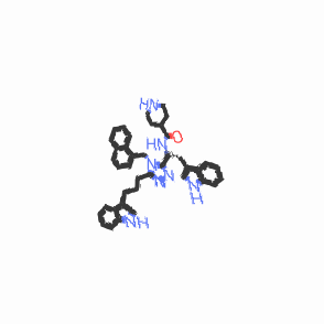 O=C(N[C@H](Cc1c[nH]c2ccccc12)c1nnc(CCCc2c[nH]c3ccccc23)n1Cc1cccc2ccccc12)C1CCNCC1